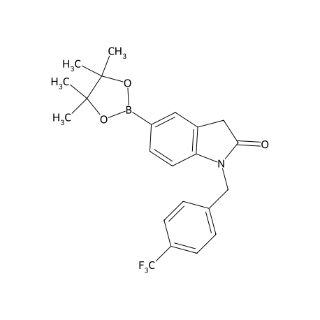 CC1(C)OB(c2ccc3c(c2)CC(=O)N3Cc2ccc(C(F)(F)F)cc2)OC1(C)C